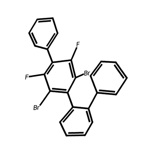 Fc1c(Br)c(-c2ccccc2-c2ccccc2)c(Br)c(F)c1-c1ccccc1